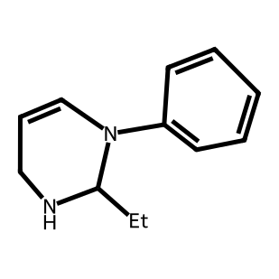 CCC1NCC=CN1c1ccccc1